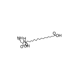 N=CCCC(NC(=O)CCCCCCCCCCCCCCCCC(=O)O)C(=O)O